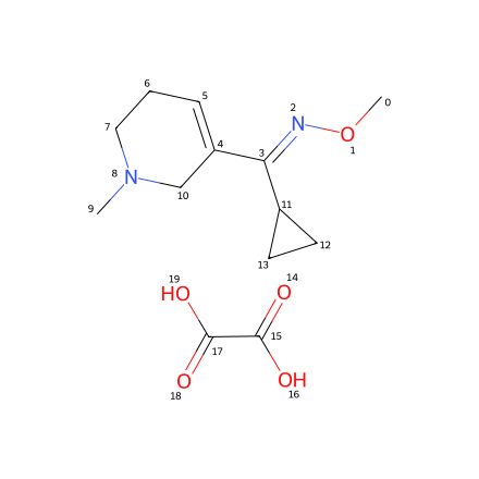 CON=C(C1=CCCN(C)C1)C1CC1.O=C(O)C(=O)O